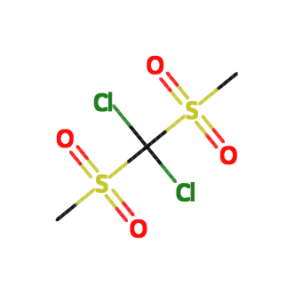 CS(=O)(=O)C(Cl)(Cl)S(C)(=O)=O